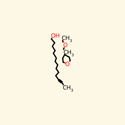 C1CCOCC1.CC#CCCCCCCCCCCCO.CCOCC